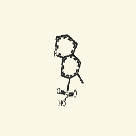 Cc1cc2cccnc2cc1S(=O)(=O)O